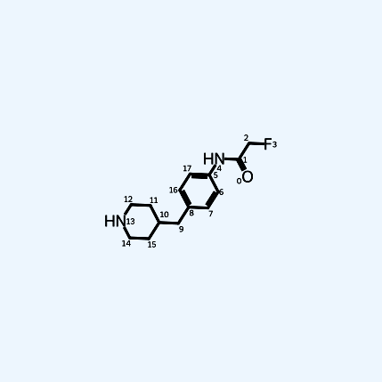 O=C(CF)Nc1ccc(CC2CCNCC2)cc1